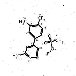 CS(=O)(=O)OF.Cc1cc(-c2ccc(C(F)(F)F)c(C)c2)ccn1